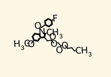 CCCCOC(=O)COC(=O)Cc1c(C)n(C(=O)c2ccc(F)cc2)c2ccc(OC)cc12